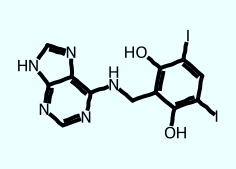 Oc1c(I)cc(I)c(O)c1CNc1ncnc2[nH]cnc12